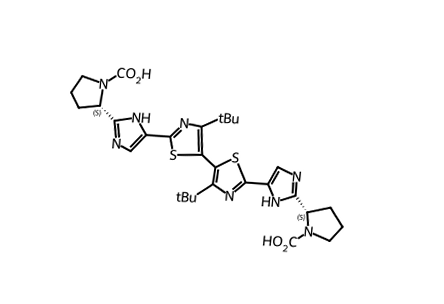 CC(C)(C)c1nc(-c2cnc([C@@H]3CCCN3C(=O)O)[nH]2)sc1-c1sc(-c2cnc([C@@H]3CCCN3C(=O)O)[nH]2)nc1C(C)(C)C